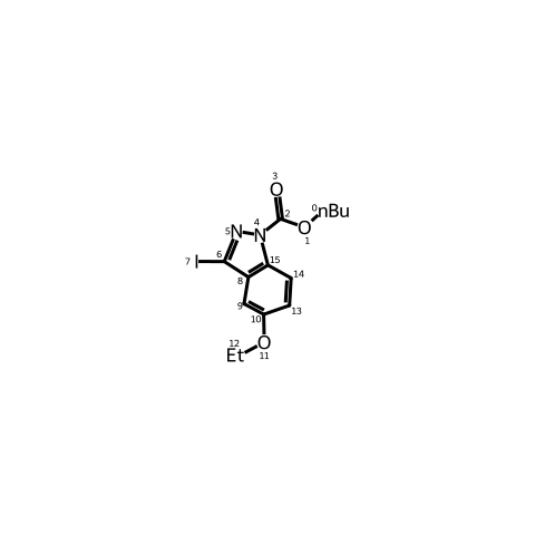 CCCCOC(=O)n1nc(I)c2cc(OCC)ccc21